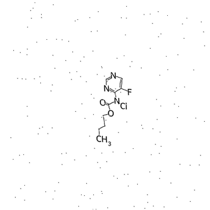 CCCCOC(=O)N(Cl)c1ncncc1F